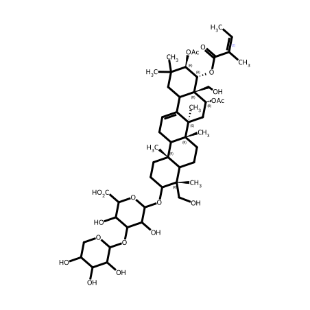 C/C=C(/C)C(=O)O[C@H]1[C@H](OC(C)=O)C(C)(C)CC2C3=CCC4[C@@]5(C)CCC(OC6OC(C(=O)O)C(O)C(OC7OCC(O)C(O)C7O)C6O)[C@@](C)(CO)C5CC[C@@]4(C)[C@]3(C)C[C@@H](OC(C)=O)[C@]21CO